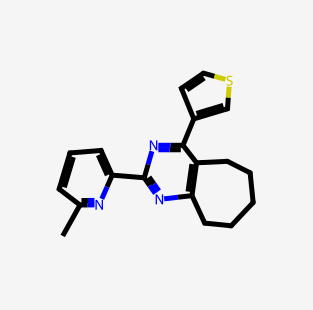 Cc1cccc(-c2nc3c(c(-c4ccsc4)n2)CCCCC3)n1